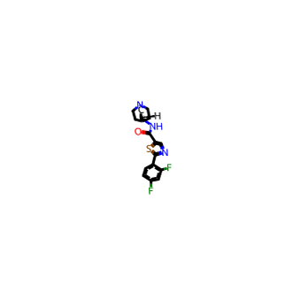 O=C(N[C@H]1CN2CCC1CC2)c1cnc(-c2ccc(F)cc2F)s1